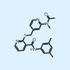 CC(=O)N(C)c1cc(CSc2ncccc2C(=O)Nc2cc(C)cc(C)c2)ccn1